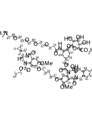 C=CCOC(=O)N1C[C@@H]2CC3(CC3)CN2C(=O)c2cc(OC)c(OCCCCCOc3cc4c(cc3OC)C(=O)N3Cc5ccccc5C[C@H]3[C@H](O)N4C(=O)OCc3ccc(O[C@@H]4O[C@H](C(=O)O)[C@@H](O)[C@H](O)[C@H]4O)c(NC(=O)CCOCCOCCOCCOCCN)c3)cc21